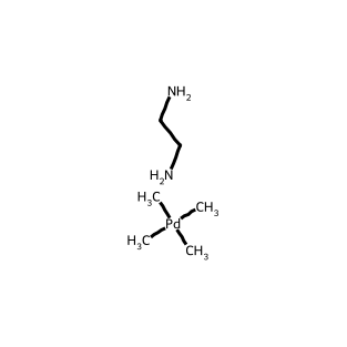 NCCN.[CH3][Pd]([CH3])([CH3])[CH3]